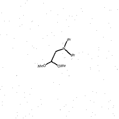 COC(CN(C(C)C)C(C)C)OC